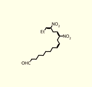 CC/C=C(\C/C=C(\C/C=C\CCCCCCC[C]=O)[N+](=O)[O-])[N+](=O)[O-]